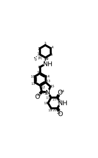 C[C@@H]1CCCC[C@@H]1NCc1ccc2c(c1)CN(C1CCC(=O)NC1=O)C2=O